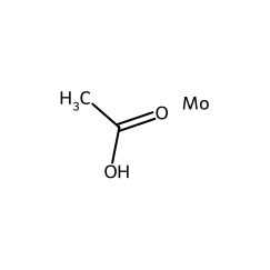 CC(=O)O.[Mo]